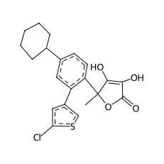 CC1(c2ccc(C3CCCCC3)cc2-c2csc(Cl)c2)OC(=O)C(O)=C1O